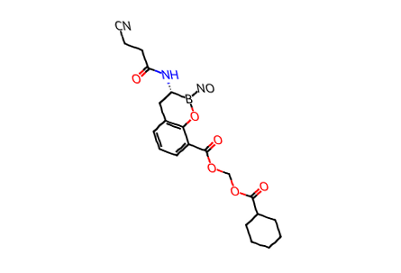 N#CCCC(=O)N[C@H]1Cc2cccc(C(=O)OCOC(=O)C3CCCCC3)c2OB1N=O